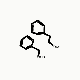 CC(=O)OCCc1ccccc1.CCOC(=O)Cc1ccccc1